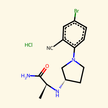 C[C@H](N[C@H]1CCN(c2ccc(Br)cc2C#N)C1)C(N)=O.Cl